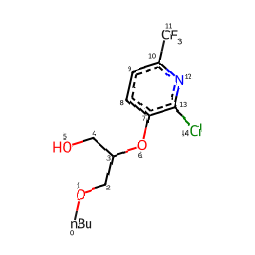 CCCCOCC(CO)Oc1ccc(C(F)(F)F)nc1Cl